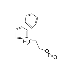 C=CCOP=O.c1ccccc1.c1ccccc1